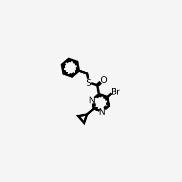 O=C(SCc1ccccc1)c1nc(C2CC2)ncc1Br